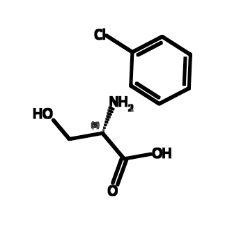 Clc1ccccc1.N[C@@H](CO)C(=O)O